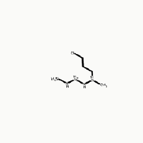 C[SiH](CCCCl)N[SiH2]N[SiH3]